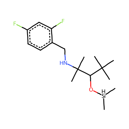 C[SiH](C)OC(C(C)(C)C)C(C)(C)NCc1ccc(F)cc1F